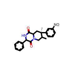 CC1CN2C(=O)C(c3ccccc3)NC(=O)C2C[C@@]1(C)c1cccc(N=O)c1